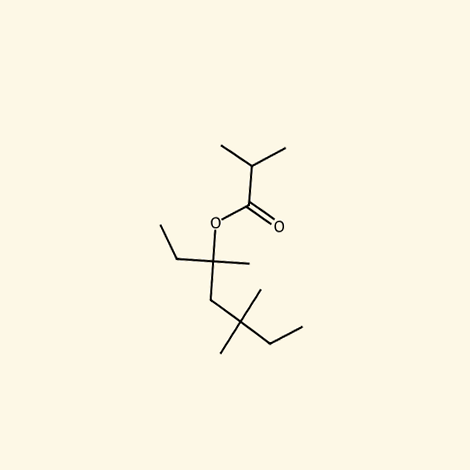 CCC(C)(C)CC(C)(CC)OC(=O)C(C)C